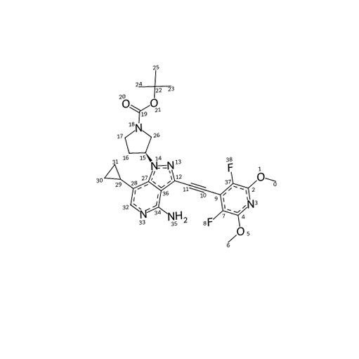 COc1nc(OC)c(F)c(C#Cc2nn([C@H]3CCN(C(=O)OC(C)(C)C)C3)c3c(C4CC4)cnc(N)c23)c1F